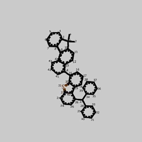 CC1(C)c2ccccc2-c2c1ccc1c(-c3cccc4c3sc3cccc(C(c5ccccc5)c5ccccc5)c34)cccc21